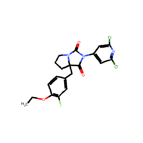 CCOc1ccc(CC23CCCN2C(=O)N(c2cc(Cl)nc(Cl)c2)C3=O)cc1F